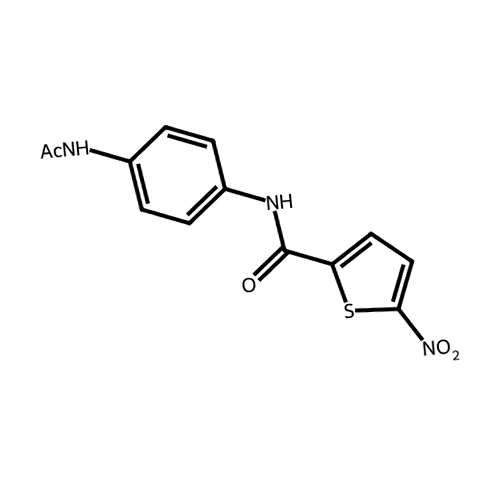 CC(=O)Nc1ccc(NC(=O)c2ccc([N+](=O)[O-])s2)cc1